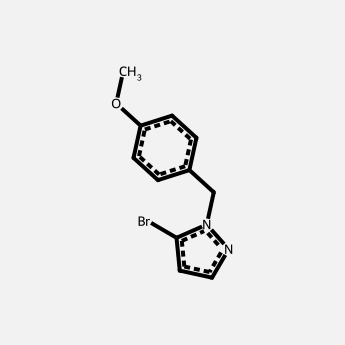 COc1ccc(Cn2nccc2Br)cc1